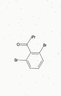 CC(C)C(=O)c1c(Br)cccc1Br